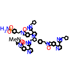 CNC(=O)C1(N2Cc3ccc(-c4ncccc4-c4cnn(CC5CCCC5)c4)cc3C2=O)CC1.NS(=O)(=O)c1ccc(CCN2Cc3ccc(-c4ncccc4-c4cnn(CC5CCCC5)c4)cc3C2=O)cc1.O=C1c2cc(-c3ncccc3-c3cnn(CC4CCCC4)c3)ccc2CN1CCc1ccccc1